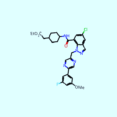 CCOC(=O)CC1CCC(NC(=O)c2cc(Cl)cc3cnn(Cc4cnc(-c5cc(F)cc(OC)c5)cn4)c23)CC1